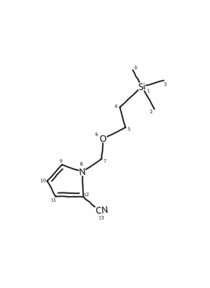 C[Si](C)(C)CCOCn1cccc1C#N